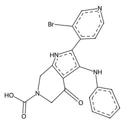 O=C1CN(C(=O)O)Cc2[nH]c(-c3ccncc3Br)c(Nc3ccccc3)c21